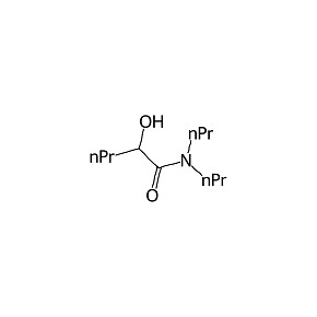 CCCC(O)C(=O)N(CCC)CCC